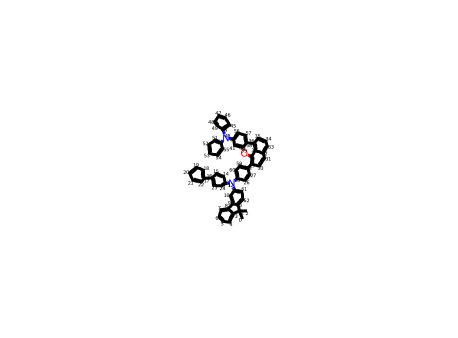 CC1(C)c2ccccc2-c2cc(N(c3ccc(-c4ccccc4)cc3)c3ccc(-c4ccc5cccc6c5c4Oc4cc(N(c5ccccc5)c5ccccc5)ccc4-6)cc3)ccc21